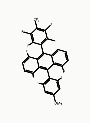 COc1cc(F)c(-c2c3c(F)cccc3c(-c3c(F)c(F)c(C(F)(F)F)c(F)c3F)c3c(F)ccc(F)c23)c(F)c1